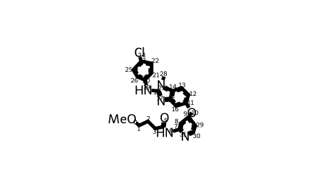 COCCCC(=O)Nc1cc(Oc2ccc3c(c2)nc(Nc2ccc(Cl)cc2)n3C)ccn1